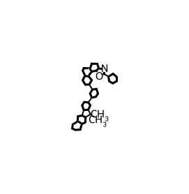 CC1(C)c2cc(-c3cccc(-c4ccc5ccc6ccc7nc(-c8ccccc8)oc7c6c5c4)c3)ccc2-c2cc3ccccc3cc21